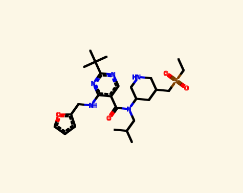 CCS(=O)(=O)CC1CNCC(N(CC(C)C)C(=O)c2cnc(C(C)(C)C)nc2NCc2ccco2)C1